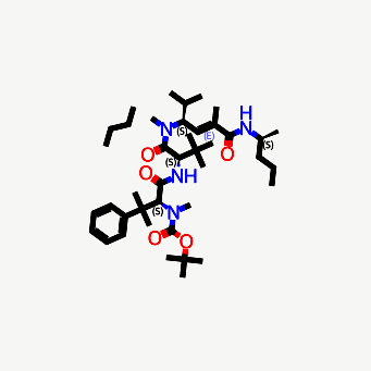 CCCC.CCC[C@H](C)NC(=O)/C(C)=C/[C@H](C(C)C)N(C)C(=O)[C@@H](NC(=O)[C@@H](N(C)C(=O)OC(C)(C)C)C(C)(C)c1ccccc1)C(C)(C)C